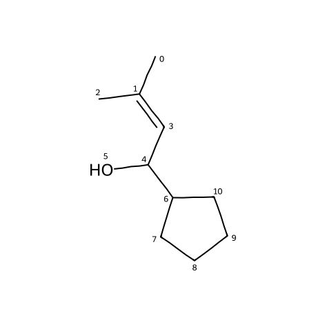 CC(C)=CC(O)C1CCCC1